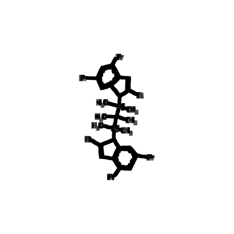 CCC1=Cc2c(C(C)C)cc(C(C)C)cc2[CH]1[Hf]([CH3])([CH3])[C](C)(C)[Hf]([CH3])([CH3])[CH]1C(CC)=Cc2c(C(C)C)cc(C(C)C)cc21